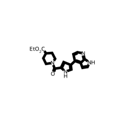 CCOC(=O)C1CCN(C(=O)c2cc(-c3ccnc4[nH]ccc34)c[nH]2)CC1